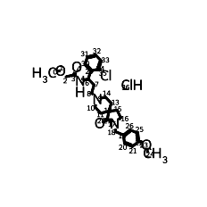 COCC(=O)NC(CCN1CCC2(CC1)CCN(Cc1ccc(OC)cc1)C2=O)c1ccccc1Cl.Cl